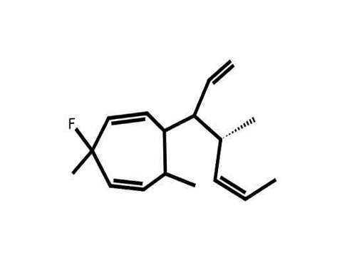 C=CC(C1C=CC(C)(F)C=CC1C)[C@H](C)/C=C\C